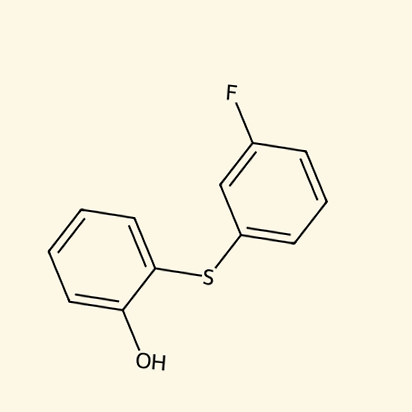 Oc1ccccc1Sc1cccc(F)c1